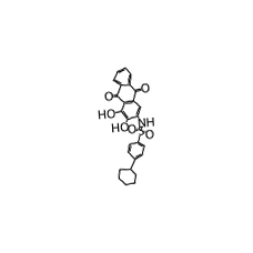 O=C1c2ccccc2C(=O)c2c1cc(NS(=O)(=O)c1ccc(C3CCCCC3)cc1)c(O)c2O